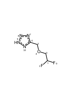 FC(F)[CH]OCc1nn[nH]n1